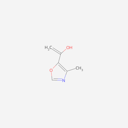 C=C(O)c1ocnc1C